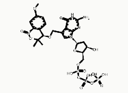 COc1ccc([C@@H](OCc2cn([C@H]3C[C@@H](O)[C@@H](COP(=O)(O)OP(=O)(O)OP(=O)(O)O)O3)c3nc(N)[nH]c(=O)c23)C(C)(C)C)c([N+](=O)[O-])c1